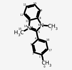 Cc1ccc(-c2n(C)c3ccccc3[n+]2C)cc1